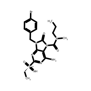 CCCN(C)C(=O)n1c(=O)n(Cc2ccc(Br)cc2)c2nc([S@@](=N)(=O)CC)nc(N)c21